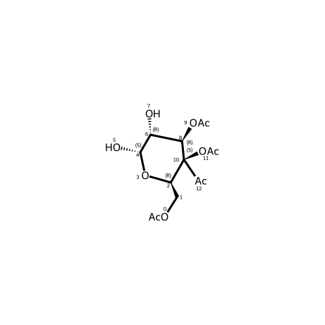 CC(=O)OC[C@H]1O[C@H](O)[C@H](O)[C@@H](OC(C)=O)[C@]1(OC(C)=O)C(C)=O